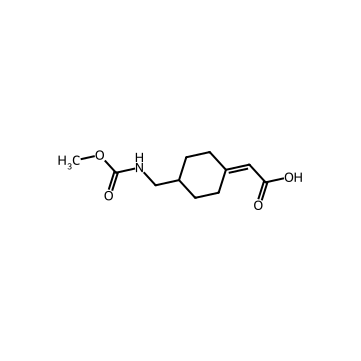 COC(=O)NCC1CCC(=CC(=O)O)CC1